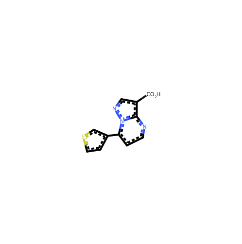 O=C(O)c1cnn2c(-c3ccsc3)ccnc12